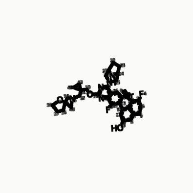 C#Cc1c(F)ccc2cc(O)cc(-c3c(C(C)C)cc4c(N5CC6CCC(C5)N6)nc(OCC5(CN6CC7(CCCO7)C6)CC5)nc4c3F)c12